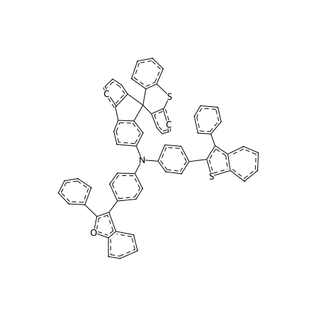 c1ccc(-c2oc3ccccc3c2-c2ccc(N(c3ccc(-c4sc5ccccc5c4-c4ccccc4)cc3)c3ccc4c(c3)C3(c5ccccc5Sc5ccccc53)c3ccccc3-4)cc2)cc1